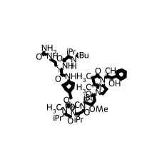 CC[C@H](C)[C@@H]([C@@H](CC(=O)N1CCC[C@H]1[C@H](C)[C@H](C)C(=O)N[C@@H](C)[C@H](O)c1ccccc1)OC)N(C)C(=O)[C@@H](NC(=O)[C@H](C(C)C)N(C)C(=O)OCc1ccc(NC(=O)[C@H](CCCNC(N)=O)NC(=O)[C@@H](NC(C)(C)C)C(C)C)cc1)C(C)C